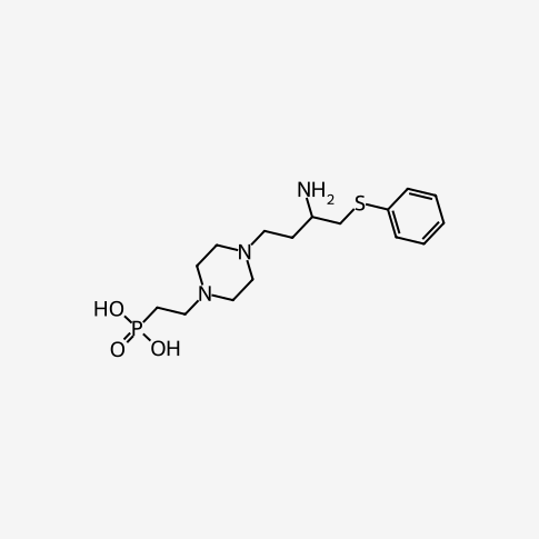 NC(CCN1CCN(CCP(=O)(O)O)CC1)CSc1ccccc1